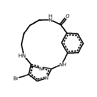 O=C1NCCCCNc2nc(ncc2Br)Nc2cccc1c2